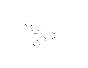 Cc1ccc2[nH]c(C(C3=C(O)C(C)(c4ccccc4)OC3=O)c3ccccc3)c(C)c2c1